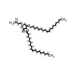 CCCCCCCC/C=C\CCCCCCCCOC(COCCNC)C(OCCCCCCCC/C=C\CCCCCCCC)C(N)=O